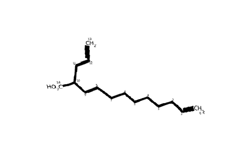 C=CCCCCCCCCC(CC=C)C(=O)O